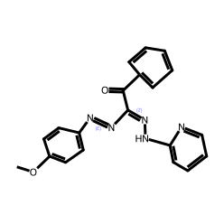 COc1ccc(/N=N/C(=N\Nc2ccccn2)C(=O)c2ccccc2)cc1